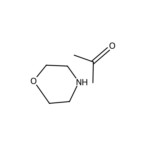 C1COCCN1.CC(C)=O